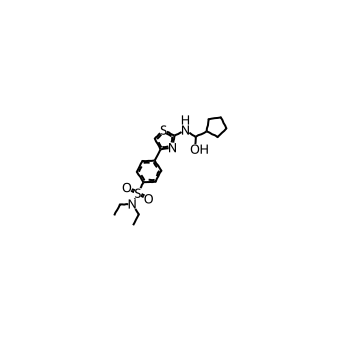 CCN(CC)S(=O)(=O)c1ccc(-c2csc(NC(O)C3CCCC3)n2)cc1